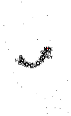 CC(C)Oc1cc2nc([C@H]3CC[C@H](CN4CCC(c5ccc(OC6CCC(=O)NC6=O)cc5)CC4)CC3)cn2cc1C(=O)Nc1cnn2cccnc12